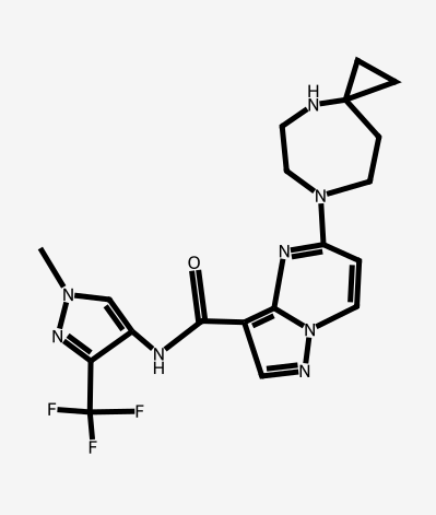 Cn1cc(NC(=O)c2cnn3ccc(N4CCNC5(CC4)CC5)nc23)c(C(F)(F)F)n1